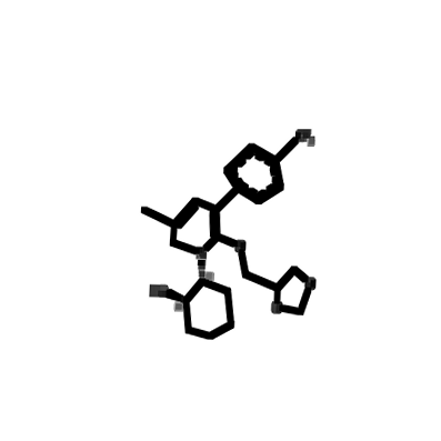 CC1=CC(c2ccc(C(F)(F)F)cc2)=C(OCC2COCO2)N([C@@H]2CCCC[C@H]2O)C1